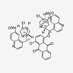 CC[C@@H]1CN2CC[C@H]1C[C@@H]2[C@H](Oc1ccc(O[C@H](c2ccnc3ccc(OC)cc23)[C@H]2C[C@@H]3CCN2C[C@H]3CC)c2c1C(=O)c1ccccc1C2=O)c1ccnc2ccc(OC)cc12